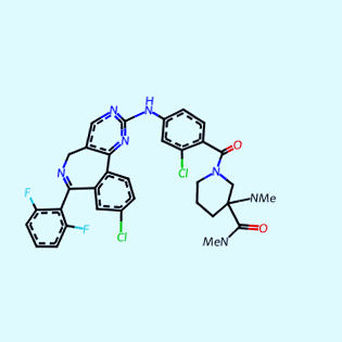 CNC(=O)C1(NC)CCCN(C(=O)c2ccc(Nc3ncc4c(n3)-c3ccc(Cl)cc3C(c3c(F)cccc3F)=NC4)cc2Cl)C1